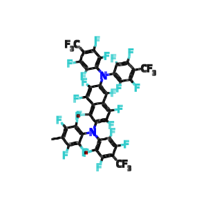 Cc1c(F)c(F)c(N(c2c(F)c(F)c(C(F)(F)F)c(F)c2F)c2c(F)c(F)c3c(F)c(N(c4c(F)c(F)c(C(F)(F)F)c(F)c4F)c4c(F)c(F)c(C(F)(F)F)c(F)c4F)c(F)c(F)c3c2F)c(F)c1F